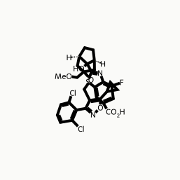 COCC1(OCc2c(-c3c(Cl)cccc3Cl)noc2C2CC2)C[C@H]2CC[C@@H](C1)C2(O)c1nc2c(F)cc(C(=O)O)cc2s1